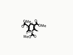 COC(=O)C1=C(C)N(C(=O)OC)C(C)=C(C(=O)OC)C1